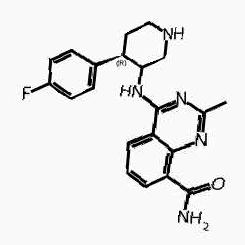 Cc1nc(NC2CNCC[C@@H]2c2ccc(F)cc2)c2cccc(C(N)=O)c2n1